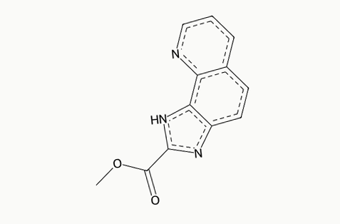 COC(=O)c1nc2ccc3cccnc3c2[nH]1